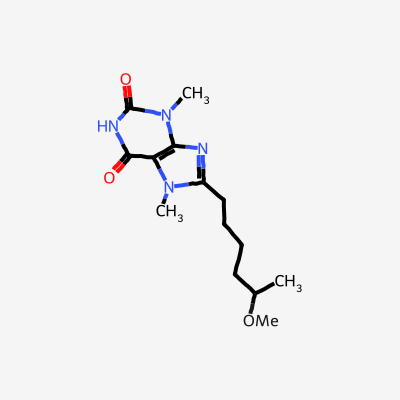 COC(C)CCCCc1nc2c(c(=O)[nH]c(=O)n2C)n1C